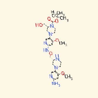 COc1cc(N)ncc1N1CCN[C@@H](CONc2cc(OC)c(N3CCN(C(=O)OC(C)(C)C)[C@@H](CO)C3)cn2)C1